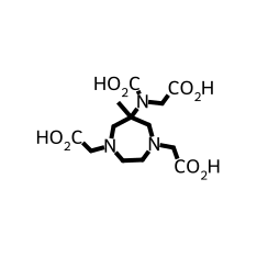 CC1(N(CC(=O)O)C(=O)O)CN(CC(=O)O)CCN(CC(=O)O)C1